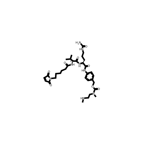 CNCCN(C)C(=O)OCc1ccc(NC(=O)[C@H](CCCNC(N)=O)NC(=O)[C@@H](NC(=O)CCCCCN2C(=O)C=CC2=O)C(C)C)cc1